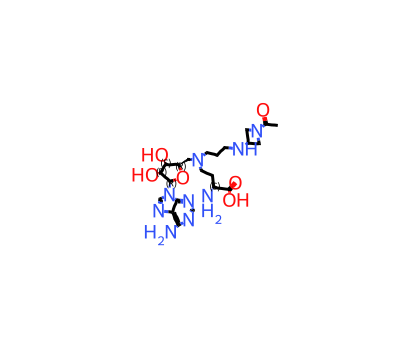 CC(=O)N1CC(NCCCN(CC[C@H](N)C(=O)O)C[C@H]2O[C@@H](n3cnc4c(N)ncnc43)[C@H](O)[C@@H]2O)C1